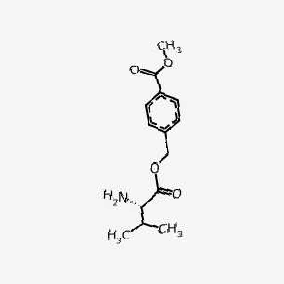 COC(=O)c1ccc(COC(=O)[C@@H](N)C(C)C)cc1